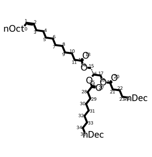 CCCCCCCC/C=C\CCCCCCCCCC(=O)OC[C@H](COC(=O)CCCCCCCCCCCCC)OC(=O)CCCCCCCCCCCCCCCCC